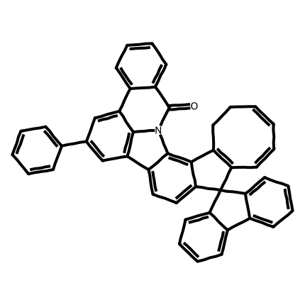 O=c1c2ccccc2c2cc(-c3ccccc3)cc3c4ccc5c(c4n1c23)C1=C(/C=C\C=C/CC1)C51c2ccccc2-c2ccccc21